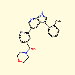 COc1ccccc1-c1c[nH]c2ncc(-c3cccc(C(=O)N4CCOCC4)c3)cc12